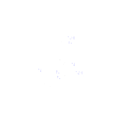 N#CCC1(Cn2cc3c(N)nc4cc(-c5cc[nH]n5)ccc4c3n2)CC1